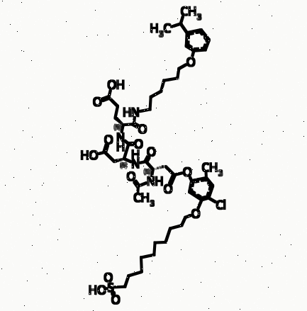 CC(=O)N[C@@H](CC(=O)Oc1cc(OCCCCCCCCCCS(=O)(=O)O)c(Cl)cc1C)C(=O)N[C@@H](CC(=O)O)C(=O)N[C@@H](CCC(=O)O)C(=O)NCCCCCCOc1cccc(C(C)C)c1